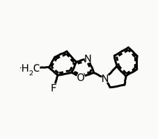 [CH2]c1ccc2nc(N3CCc4ccccc43)oc2c1F